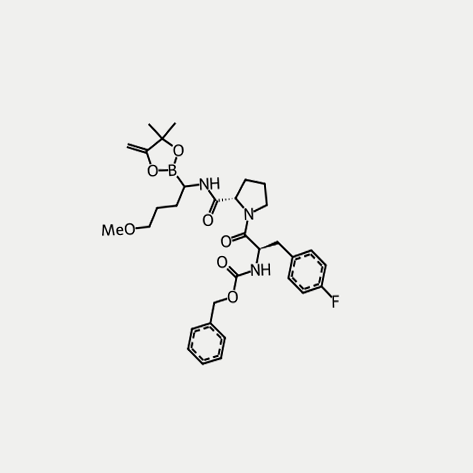 C=C1OB(C(CCCOC)NC(=O)[C@@H]2CCCN2C(=O)[C@@H](Cc2ccc(F)cc2)NC(=O)OCc2ccccc2)OC1(C)C